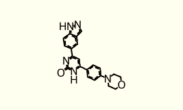 O=c1nc(-c2ccc3[nH]ncc3c2)cc(-c2ccc(N3CCOCC3)cc2)[nH]1